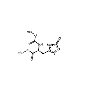 CC(C)(C)OC(=O)N[C@@H](Cc1noc(=O)[nH]1)C(=O)OC(C)(C)C